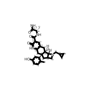 Cc1ccc(O)cc1[C@@]12Cc3[nH]c(=O)c(C(=O)N[C@@H](C)C(N)=O)cc3C[C@@]1(O)[C@H]1C(CN1CC1CC1)C2